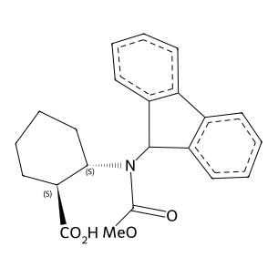 COC(=O)N(C1c2ccccc2-c2ccccc21)[C@H]1CCCC[C@@H]1C(=O)O